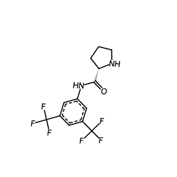 O=C(Nc1cc(C(F)(F)F)cc(C(F)(F)F)c1)[C@@H]1CCCN1